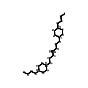 CCCCN1CCN(CCCNCCCN2CCN(CCCC)CC2)CC1